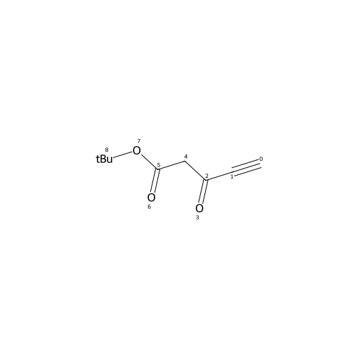 C#CC(=O)CC(=O)OC(C)(C)C